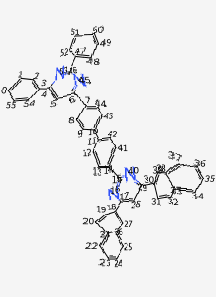 c1ccc(-c2cc(-c3ccc(-c4ccc(-c5nc(-c6ccc7ccccc7c6)cc(-c6ccc7ccccc7c6)n5)cc4)cc3)nc(-c3ccccc3)n2)cc1